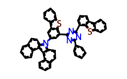 c1ccc(-c2nc(-c3cccc4c3sc3ccccc34)nc(-c3cc(-n4c5ccc6ccccc6c5c5c6ccccc6ccc54)cc4c3sc3ccccc34)n2)cc1